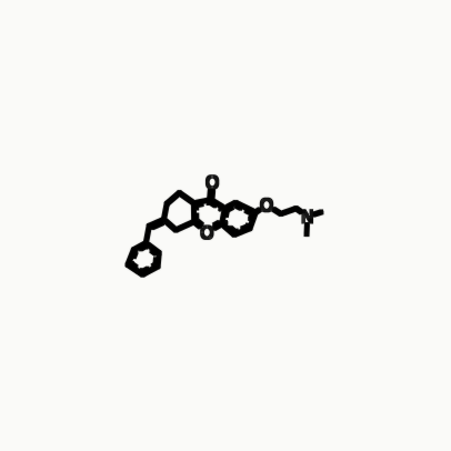 CN(C)CCOc1ccc2oc3c(c(=O)c2c1)CC/C(=C/c1ccccc1)C3